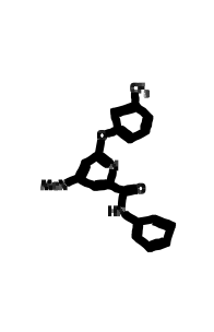 CNc1cc(Oc2cccc(C(F)(F)F)c2)nc(C(=O)Nc2ccccc2)c1